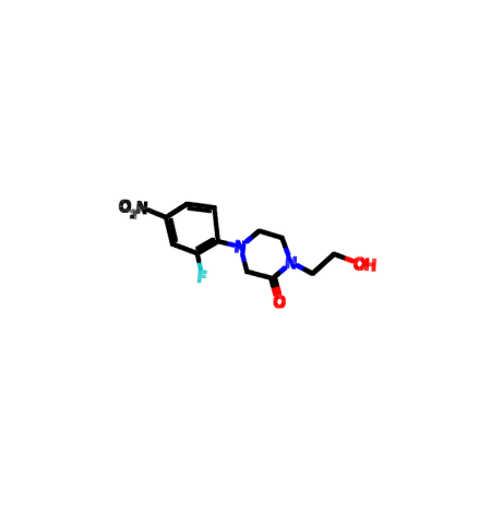 O=C1CN(c2ccc([N+](=O)[O-])cc2F)CCN1CCO